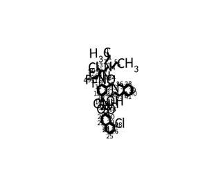 CCCN(CCC)c1nn(-c2ccc(C(=O)NS(=O)(=O)c3ccc4cccc(Cl)c4c3)cc2C(=O)N2Cc3ccccc3C[C@H]2CO)c(C(F)(F)F)c1Cl